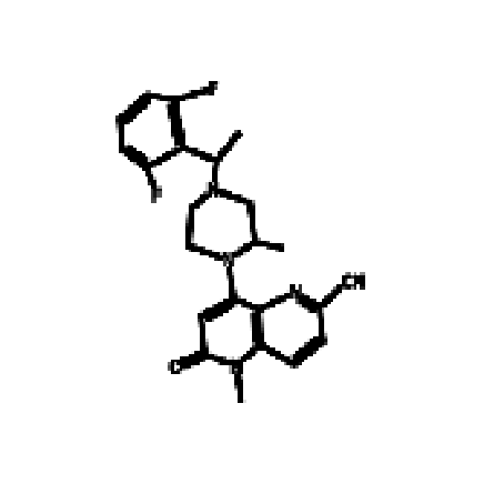 CC(c1c(F)cccc1F)N1CCN(c2cc(=O)n(C)c3ccc(C#N)nc23)C(C)C1